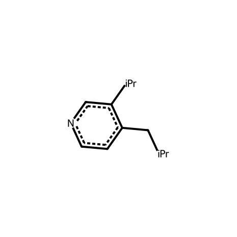 CC(C)Cc1ccncc1C(C)C